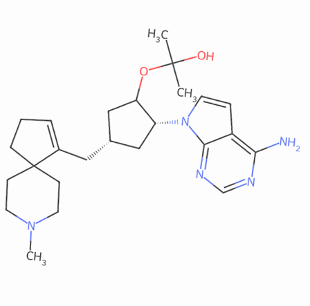 CN1CCC2(CCC=C2C[C@@H]2CC(OC(C)(C)O)[C@H](n3ccc4c(N)ncnc43)C2)CC1